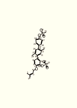 CC(C)=CCOc1ccc(-c2cc(C)c(-c3ccc(OS(C)(=O)=O)cc3)cc2C)cc1OS(C)(=O)=O